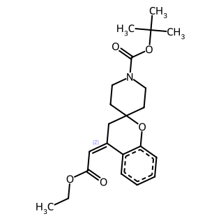 CCOC(=O)/C=C1/CC2(CCN(C(=O)OC(C)(C)C)CC2)Oc2ccccc21